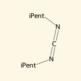 CCCC(C)N=C=NC(C)CCC